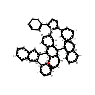 C1=CCCC(c2ccc(-c3ccccc3)n2-c2ccc3c(-c4cc5ccccc5cc4-c4ccccc4)c4ccccc4c(-c4cccc5ccccc45)c3c2)=C1